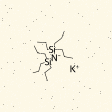 CCC[Si](CCC)(CCC)[N-][Si](CCC)(CCC)CCC.[K+]